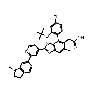 Cc1cc2nc(-c3ccnc(-c4ccc5c(c4)N(C)CC5)c3)sc2c(-c2ccc(Cl)cc2OC(C)(C)C)c1CC(=O)O